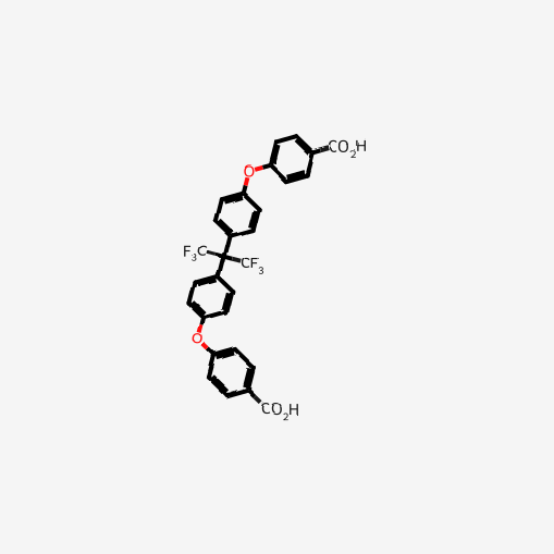 O=C(O)c1ccc(Oc2ccc(C(c3ccc(Oc4ccc(C(=O)O)cc4)cc3)(C(F)(F)F)C(F)(F)F)cc2)cc1